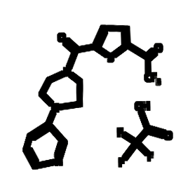 O=C(O)C(F)(F)F.O=C(c1ccc(C(=O)C(F)(F)F)s1)N1CCN(c2cccnc2)CC1